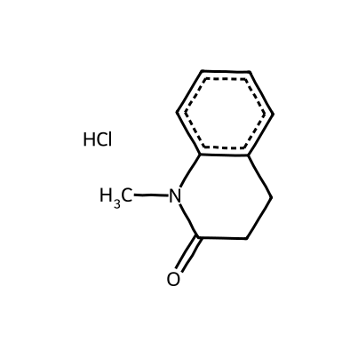 CN1C(=O)CCc2ccccc21.Cl